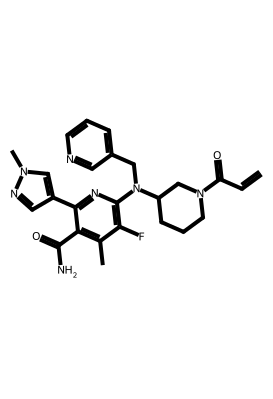 C=CC(=O)N1CCCC(N(Cc2cccnc2)c2nc(-c3cnn(C)c3)c(C(N)=O)c(C)c2F)C1